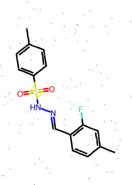 Cc1ccc(S(=O)(=O)N/N=C/c2ccc(C)cc2F)cc1